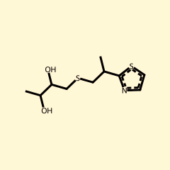 CC(CSCC(O)C(C)O)c1nccs1